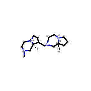 CN1CCN2CCC(CN3CCN4CCC[C@@H]4C3)[C@H]2C1